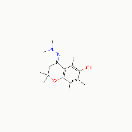 Cc1c(C)c2c(c(C)c1O)C(=NN(C)C)CC(C)(C)O2